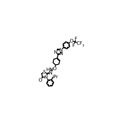 CC(C)c1ccccc1N1C(=O)CS/C1=N\NOC1CC=C(c2ncn(-c3ccc(OC(F)(F)C(F)(F)F)cc3)n2)CC1